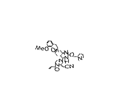 C=CC(=O)N1CCN(C2NC(OCC3CCCN3C)N=C3C[C@]4(CCc5cccc(OC)c5O4)CCC32)CC1CC#N